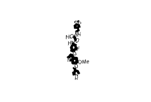 COc1cc2c(OC3=C(F)CC(NC(=O)C(O)NCCc4ccc5c(c4)OCO5)C=C3)ccnc2cc1OCC1CCNCC1